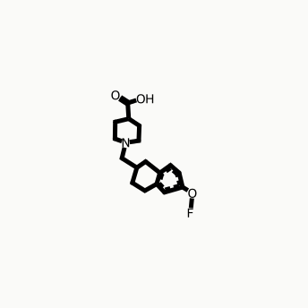 O=C(O)C1CCN(CC2CCc3cc(OF)ccc3C2)CC1